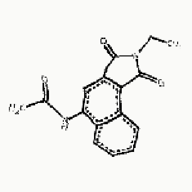 CCN1C(=O)c2cc(NC(C)=O)c3ccccc3c2C1=O